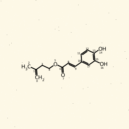 C=C(C)CCOC(=O)C=Cc1ccc(O)c(O)c1